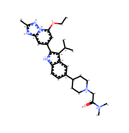 CCOc1cc(-c2[nH]c3ccc(C4CCN(CC(=O)N(C)C)CC4)cc3c2C(C)C)cc2nc(C)nn12